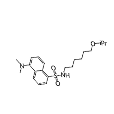 CC(C)OCCCCCCNS(=O)(=O)c1cccc2c(N(C)C)cccc12